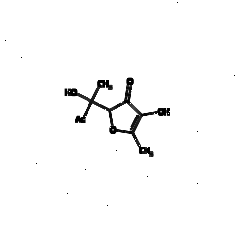 CC(=O)C(C)(O)C1OC(C)=C(O)C1=O